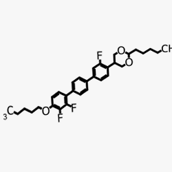 CCCCCOc1ccc(-c2ccc(-c3ccc(C4COC(CCCCC)OC4)c(F)c3)cc2)c(F)c1F